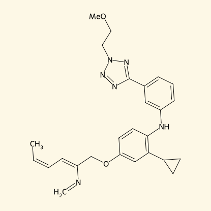 C=N/C(=C\C=C/C)COc1ccc(Nc2cccc(-c3nnn(CCOC)n3)c2)c(C2CC2)c1